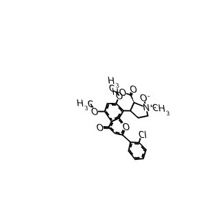 COc1cc(OC)c2c(=O)cc(-c3ccccc3Cl)oc2c1C1CC[N@+](C)([O-])[C@@H]1C(=O)O